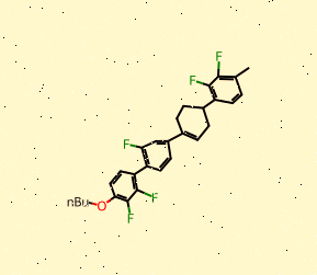 CCCCOc1ccc(-c2ccc(C3=CCC(c4ccc(C)c(F)c4F)CC3)cc2F)c(F)c1F